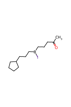 CC(=O)CCCB(I)CCCC1CCCC1